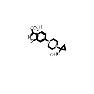 O=CC1(N2CCN(c3ccc4c(C(=O)O)nsc4c3)CC2)CC1